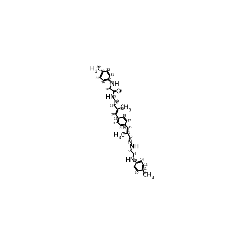 CC(/C=N/NCCNc1ccc(C)cc1)=C\c1ccc(/C=C(C)/C=N/NC(=O)CNc2ccc(C)cc2)cc1